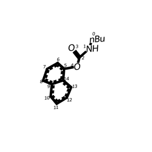 CCCCNC(=O)Oc1cccc2ccccc12